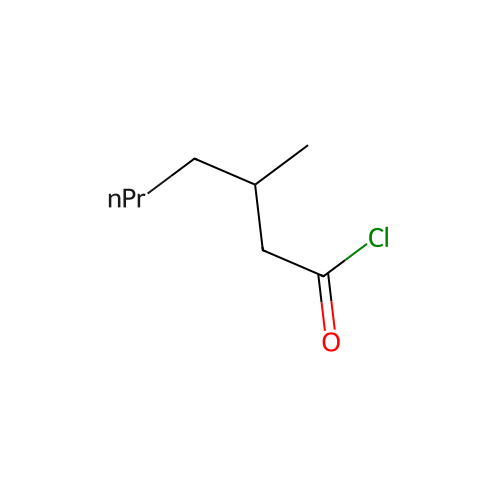 CCCCC(C)CC(=O)Cl